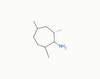 CC1CCC(C)C(N)[C@@H](C)C1